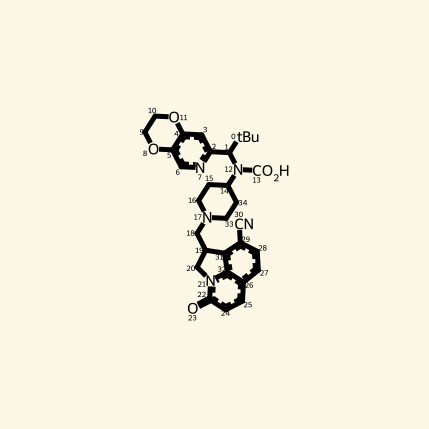 CC(C)(C)C(c1cc2c(cn1)OCCO2)N(C(=O)O)C1CCN(CC2Cn3c(=O)ccc4ccc(C#N)c2c43)CC1